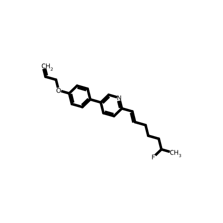 C=CCOc1ccc(-c2ccc(C=CCCCC(C)F)nc2)cc1